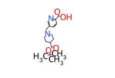 CC(C)(C)OC(=O)C1CCN(Cc2ccc(C(=O)O)nc2)CC1